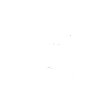 CC(C)SC(=[N+]=[N-])SC(C)C